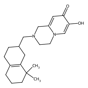 CC1(C)CCCC2=C1CC(CN1CCn3cc(O)c(=O)cc3C1)CC2